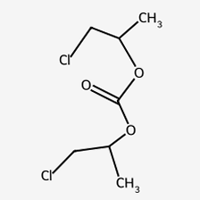 CC(CCl)OC(=O)OC(C)CCl